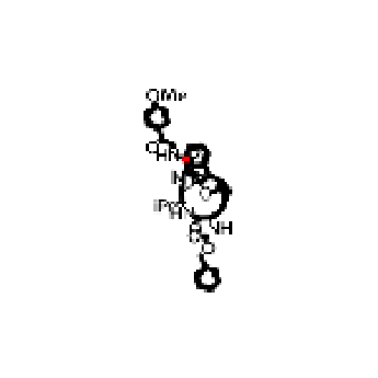 COc1ccc(C(=O)CNC(=O)c2nc3oc2[C@@]24c5ccccc5NC2Oc2ccc(cc24)C[C@H](NC(=O)OCc2ccccc2)C(=O)N[C@H]3C(C)C)cc1